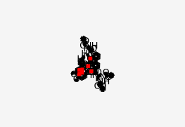 COc1ccc(CN(Cc2ccc(OC)cc2)S(=O)(=O)c2c(S(=O)(=O)NC(CNC(=O)OC(C)(C)C)CNC(=O)OC(C)(C)C)ccc(-c3cccc(NC(=O)CNC(=O)OC(C)(C)C)c3N)c2C2=N/c3cc(ccc3OC)CN/N=N\2)cc1